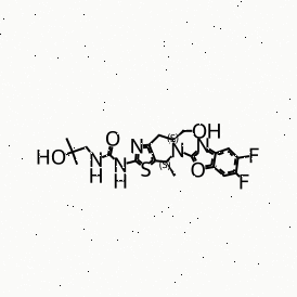 C[C@H]1c2sc(NC(=O)NCC(C)(C)O)nc2C[C@@H](CO)N1c1nc2cc(F)c(F)cc2o1